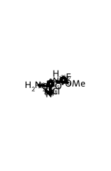 COc1cc(C(=O)Nc2ccc(OCCN)c(-c3c(Cl)cnn3C)c2)ccc1F